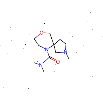 CN1CCC2(COCCN2C(=O)N(C)C)C1